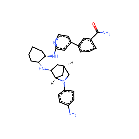 NC(=O)c1cccc(-c2ccnc(N[C@@H]3CCCC[C@H]3N[C@H]3C[C@@H]4C[C@H]3N(c3ccc(N)cc3)C4)c2)c1